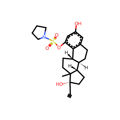 C#C[C@]1(O)CC[C@H]2[C@@H]3CCc4cc(O)cc(OS(=O)(=O)N5CCCC5)c4[C@H]3CCC21C